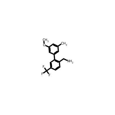 COc1cc(C)cc(-c2cc(C(F)(F)F)ccc2CN)c1